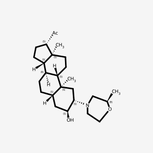 CC(=O)[C@H]1CC[C@H]2[C@@H]3CC[C@H]4C[C@H](O)[C@@H](N5CCO[C@H](C)C5)C[C@]4(C)[C@H]3CC[C@]12C